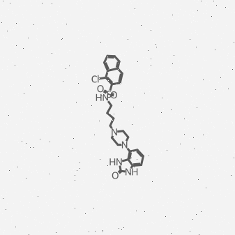 O=c1[nH]c2cccc(N3CCN(CCCCNS(=O)(=O)c4ccc5ccccc5c4Cl)CC3)c2[nH]1